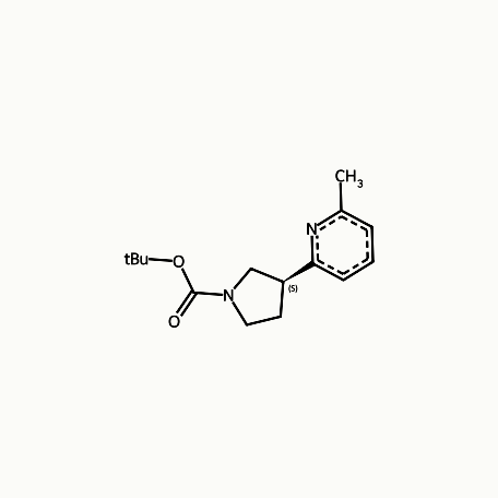 Cc1cccc([C@H]2CCN(C(=O)OC(C)(C)C)C2)n1